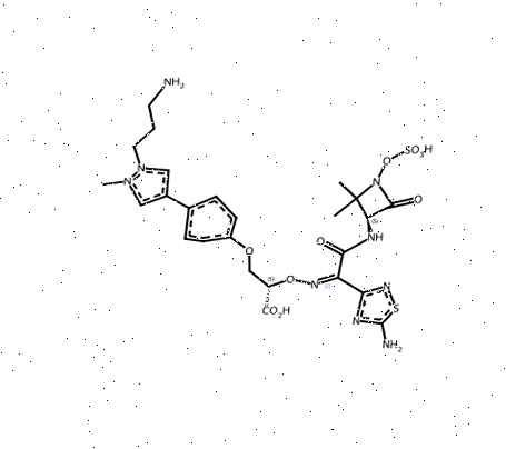 C[n+]1cc(-c2ccc(OC[C@H](O/N=C(\C(=O)N[C@@H]3C(=O)N(OS(=O)(=O)O)C3(C)C)c3nsc(N)n3)C(=O)O)cc2)cn1CCCN